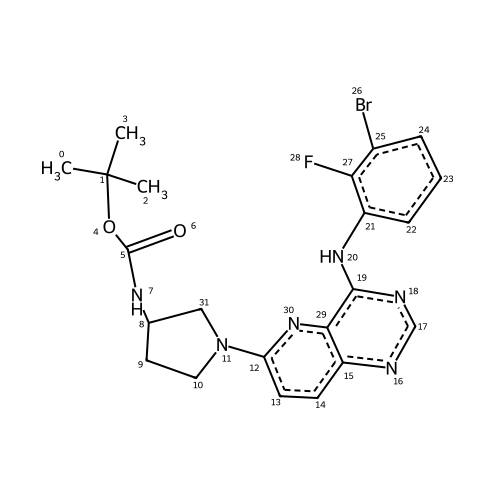 CC(C)(C)OC(=O)NC1CCN(c2ccc3ncnc(Nc4cccc(Br)c4F)c3n2)C1